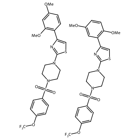 COc1ccc(-c2csc(N3CCN(S(=O)(=O)c4ccc(OC(F)(F)F)cc4)CC3)n2)c(OC)c1.COc1ccc(OC)c(-c2csc(N3CCN(S(=O)(=O)c4ccc(OC(F)(F)F)cc4)CC3)n2)c1